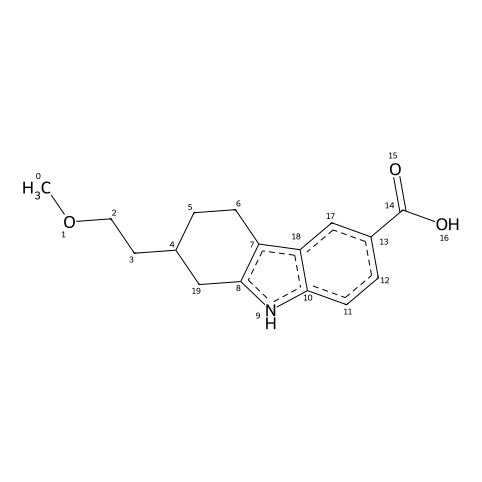 COCCC1CCc2c([nH]c3ccc(C(=O)O)cc23)C1